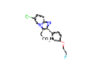 O=C(O)Cc1c(-c2ccc(OCCF)cc2)nc2ccc(Cl)cn12